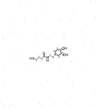 O=C(CCCS)NCCc1ccc(O)c(O)c1